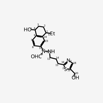 CCC1CCC(O)c2ccc(N(C=O)NCCCc3ncc(CO)s3)cc21